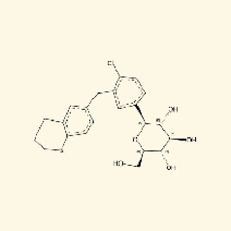 OC[C@H]1O[C@@H](c2ccc(Cl)c(Cc3ccc4c(c3)CCCS4)c2)[C@H](O)[C@@H](O)[C@@H]1O